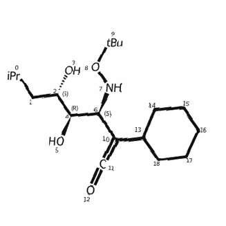 CC(C)C[C@H](O)[C@H](O)[C@@H](NOC(C)(C)C)C(=C=O)C1CCCCC1